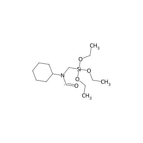 CCO[Si](CN([C]=O)C1CCCCC1)(OCC)OCC